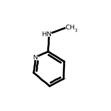 CNc1c[c]ccn1